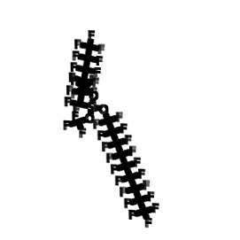 FC(F)(F)O[Si](OC(F)(F)F)(OC(F)(F)C(F)(F)C(F)(F)C(F)(F)C(F)(F)C(F)(F)C(F)(F)C(F)(F)C(F)(F)F)C(F)(F)C(F)(F)C(F)(F)C(F)(F)C(F)(F)C(F)(F)F